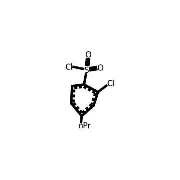 CCCc1ccc(S(=O)(=O)Cl)c(Cl)c1